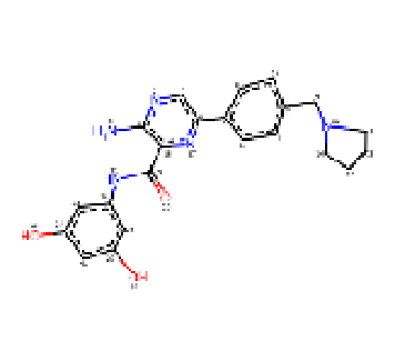 Nc1ncc(-c2ccc(CN3CCCC3)cc2)nc1C(=O)Nc1cc(O)cc(O)c1